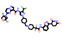 O=C1CCC(c2noc3c(NC(=O)C(F)(F)C4CCN(CC5CCC(n6cc(NC(=O)c7cnn8ccc(N9C[C@H]%10C[C@@H]9CO%10)nc78)c(C(F)F)n6)CC5)CC4)cccc23)C(=O)N1